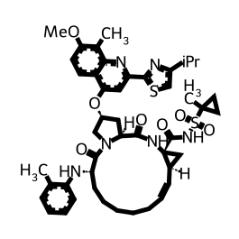 COc1ccc2c(O[C@@H]3C[C@H]4C(=O)N[C@]5(C(=O)NS(=O)(=O)C6(C)CC6)C[C@H]5/C=C\CCCCC[C@H](Nc5ccccc5C)C(=O)N4C3)cc(-c3nc(C(C)C)cs3)nc2c1C